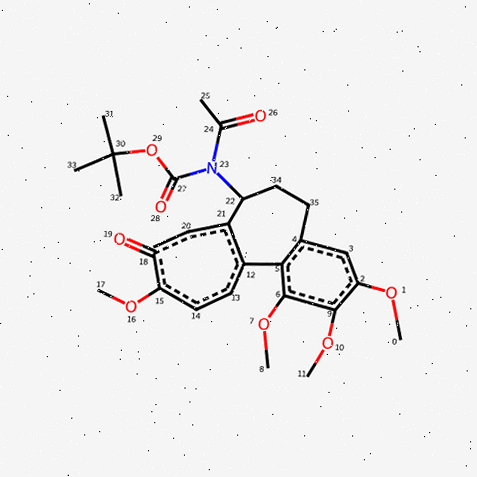 COc1cc2c(c(OC)c1OC)-c1ccc(OC)c(=O)cc1C(N(C(C)=O)C(=O)OC(C)(C)C)CC2